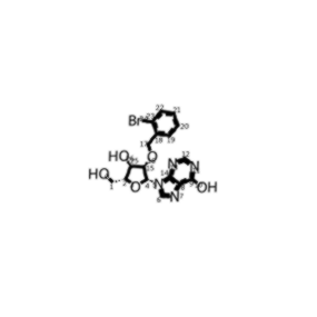 OC[C@H]1O[C@@H](n2cnc3c(O)ncnc32)[C@H](OCc2ccccc2Br)[C@@H]1O